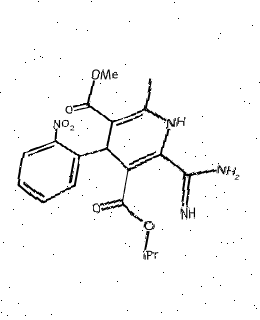 COC(=O)C1=C(C)NC(C(=N)N)=C(C(=O)OC(C)C)C1c1ccccc1[N+](=O)[O-]